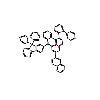 c1ccc(-c2ccccc2-c2ccccc2-c2ccccc2N(c2cccc(-c3ccc4ccccc4c3)c2)c2ccc3c(c2)C(c2ccccc2)(c2ccccc2)c2ccccc2-3)cc1